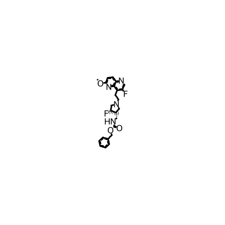 COc1ccc2ncc(F)c(CCN3C[C@H](CNC(=O)OCc4ccccc4)[C@H](F)C3)c2n1